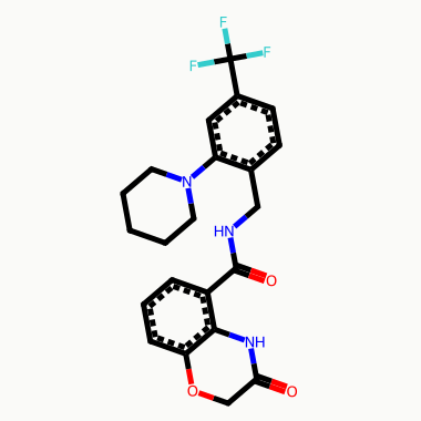 O=C1COc2cccc(C(=O)NCc3ccc(C(F)(F)F)cc3N3CCCCC3)c2N1